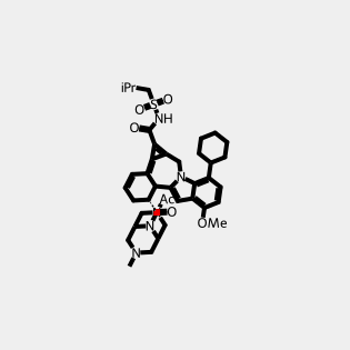 COc1ccc(C2CCCCC2)c2c1cc1n2CC2=C(C(=O)NS(=O)(=O)CC(C)C)C2=C2C=CC[C@@H](C(=O)N3C4CN(C)CC3CN(C(C)=O)C4)C21